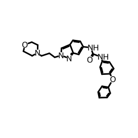 O=C(Nc1ccc(Oc2ccccc2)cc1)Nc1ccc2cn(CCCN3CCOCC3)nc2c1